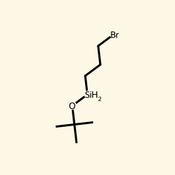 CC(C)(C)O[SiH2]CCCBr